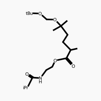 CC(C)C(=O)NCCOC(=O)C(C)CCC(C)(C)OCOC(C)(C)C